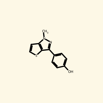 Cn1nc(-c2ccc(O)cc2)c2sccc21